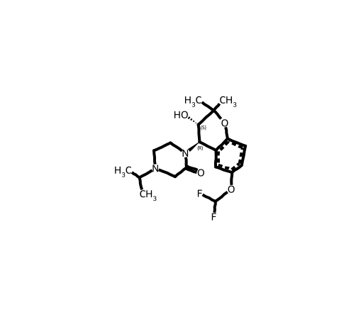 CC(C)N1CCN([C@@H]2c3cc(OC(F)F)ccc3OC(C)(C)[C@H]2O)C(=O)C1